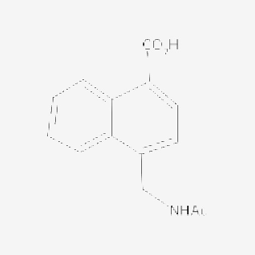 CC(=O)NCc1ccc(C(=O)O)c2ccccc12